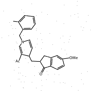 COc1ccc2c(c1)CC(CC1C=CN(Cc3ccccc3C)C=C1C(C)=O)C2=O